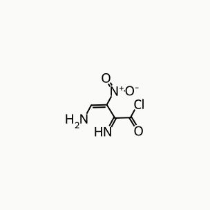 N=C(C(=O)Cl)/C(=C\N)[N+](=O)[O-]